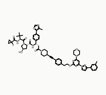 Cc1cccc(-c2ccn(-c3cc(N4CCOCC4)nc(OCCc4ccc(C#CC5CCN(C(=O)C[C@H](NC(=O)[C@@H]6C[C@@H](O)CN6C(=O)[C@@H](NC(=O)C6(F)CC6)C(C)(C)C)c6ccc(-c7scnc7C)cc6)CC5)cc4)n3)n2)c1